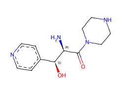 N[C@@H](C(=O)N1CCNCC1)[C@@H](O)c1ccncc1